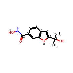 CC(C)(O)c1cc2ccc(C(=O)NO)cc2o1